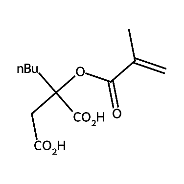 C=C(C)C(=O)OC(CCCC)(CC(=O)O)C(=O)O